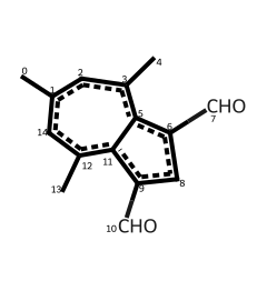 Cc1cc(C)c2c(C=O)cc(C=O)c-2c(C)c1